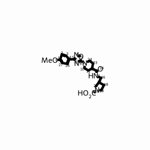 COc1ccc(-c2noc(N3CCC(C(=O)NCC4CCN(C(=O)O)C4)CC3)n2)cc1